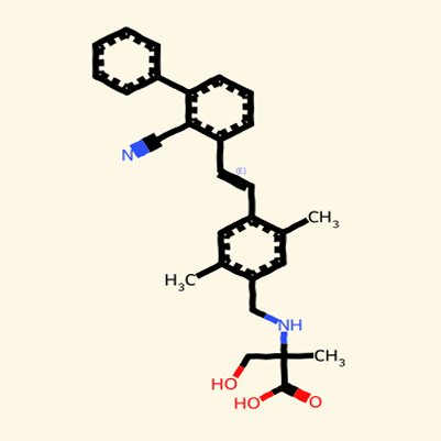 Cc1cc(CNC(C)(CO)C(=O)O)c(C)cc1/C=C/c1cccc(-c2ccccc2)c1C#N